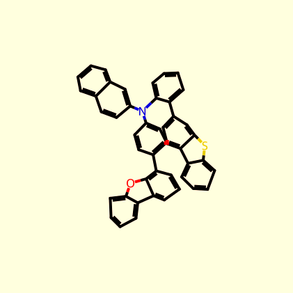 c1ccc(N(c2ccc(-c3cccc4c3oc3ccccc34)cc2)c2ccc3ccccc3c2)c(-c2ccc3c(c2)sc2ccccc23)c1